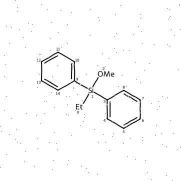 [CH2]C[Si](OC)(c1ccccc1)c1ccccc1